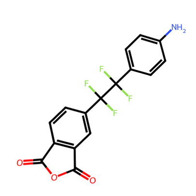 Nc1ccc(C(F)(F)C(F)(F)c2ccc3c(c2)C(=O)OC3=O)cc1